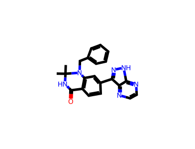 CC1(C)NC(=O)c2ccc(-c3n[nH]c4nccnc34)cc2N1Cc1ccccc1